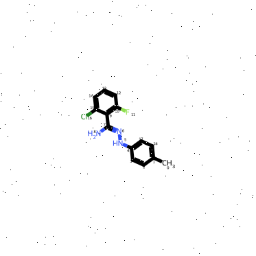 Cc1ccc(N/N=C(\N)c2c(F)cccc2Cl)cc1